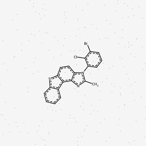 Cc1nc2c3c(ccc2n1-c1cccc(Br)c1Cl)sc1ccccc13